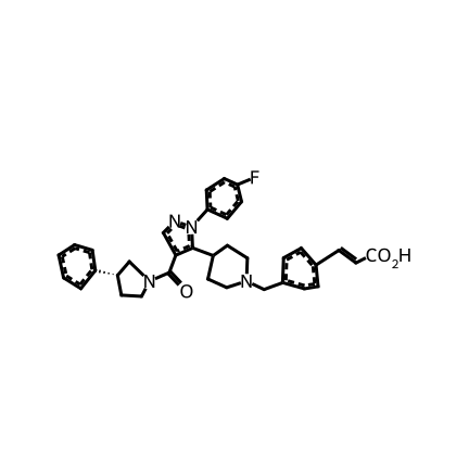 O=C(O)/C=C/c1ccc(CN2CCC(c3c(C(=O)N4CC[C@H](c5ccccc5)C4)cnn3-c3ccc(F)cc3)CC2)cc1